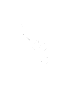 OC1(C#Cc2ccc3c(-c4ccncc4)c[nH]c3n2)CCNCC1